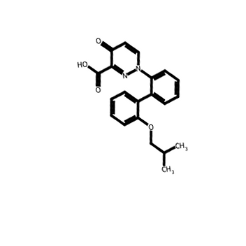 CC(C)COc1ccccc1-c1ccccc1-n1ccc(=O)c(C(=O)O)n1